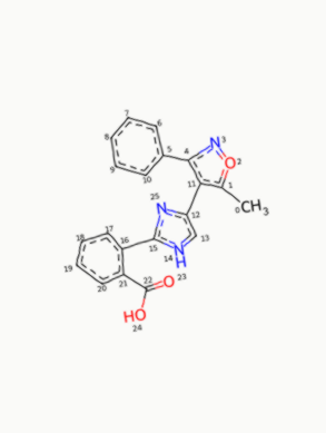 Cc1onc(-c2ccccc2)c1-c1c[nH]c(-c2ccccc2C(=O)O)n1